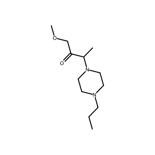 CCCN1CCN(C(C)C(=O)COC)CC1